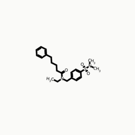 CCN(Cc1ccc(S(=O)(=O)N(C)C)cc1)C(=O)CCCCc1ccccc1